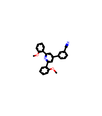 COc1ccccc1-c1cc(-c2cccc(C#N)c2)cc(-c2ccccc2OC)n1